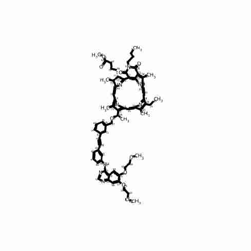 CCCCN1C(=O)c2c3nc(cc4[nH]c(cc5nc(cc6[nH]c2c(c6C)C1=O)C(CC)=C5C)c(C(C)OCc1cccc(C#Cc2cccc(Nc5ncnc6cc(OCCOC)c(OCCOC)cc56)c2)c1)c4C)C(C)[C@@H]3CCCC(=O)OC